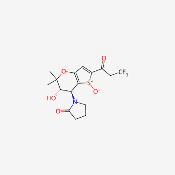 CC1(C)Oc2cc(C(=O)CC(F)(F)F)[s+]([O-])c2[C@@H](N2CCCC2=O)[C@@H]1O